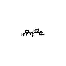 COc1c(C#N)cccc1C(C)CNc1cc(-c2ccc(C)nc2)ncn1